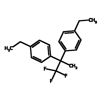 CCc1ccc(C(C)(c2ccc(CC)cc2)C(F)(F)F)cc1